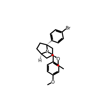 CCO[C@H]1C[C@H]2CC[C@@](c3ccc(Br)cc3)(C1)N2Cc1ccc(OC)cc1